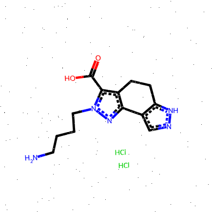 Cl.Cl.NCCCCn1nc2c(c1C(=O)O)CCc1[nH]ncc1-2